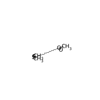 CC=CC(=O)OCCCCCCCCCCCCCCCCCCC[Si](C)(C)F